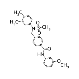 COc1cccc(NC(=O)c2ccc(CN(c3ccc(C)c(C)c3)S(C)(=O)=O)cc2)c1